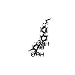 CCCOc1ccc(-c2ccc(NS(=O)(=O)c3ccc(C)c(C(=O)O)c3)cc2)cc1